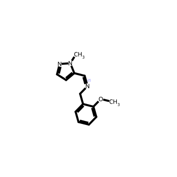 COc1ccccc1C/N=C\c1ccnn1C